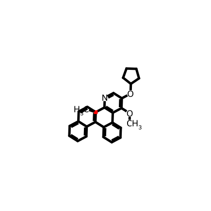 CCc1ncc(OC2CCCC2)c(OC)c1-c1ccccc1-c1cccc2ccccc12